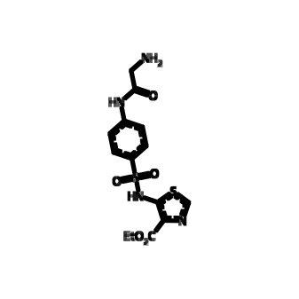 CCOC(=O)c1ncsc1NS(=O)(=O)c1ccc(NC(=O)CN)cc1